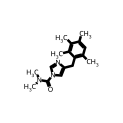 Cc1cc(C)c(Cc2cn(C(=O)N(C)C)cn2)c(C)c1C